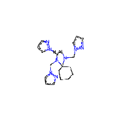 [AlH2][N](Cn1cccn1)C1(N(Cn2cccn2)Cn2cccn2)CCCCC1